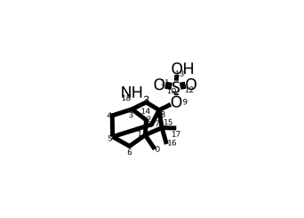 CC12CC3CC(C1)CC(OS(=O)(=O)O)(C3)C2(C)C.N